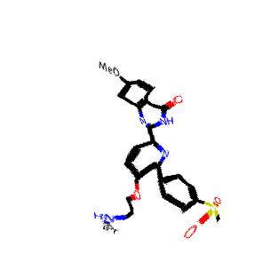 COc1ccc2c(=O)[nH]c(-c3ccc(OCCNC(C)C)c(-c4ccc(S(C)(=O)=O)cc4)n3)nc2c1